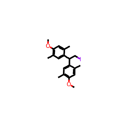 COc1cc(C)c(C(CI)c2cc(C)c(OC)cc2C)cc1C